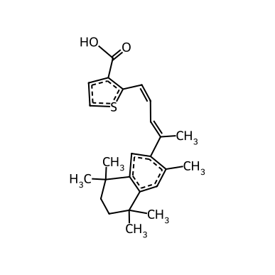 C/C(=C\C=C/c1sccc1C(=O)O)c1cc2c(cc1C)C(C)(C)CCC2(C)C